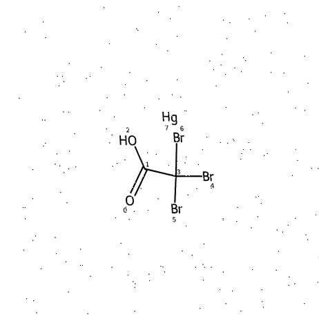 O=C(O)C(Br)(Br)Br.[Hg]